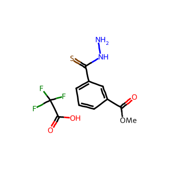 COC(=O)c1cccc(C(=S)NN)c1.O=C(O)C(F)(F)F